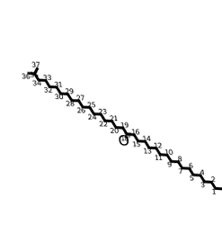 CCCCCCCCCCCCCCCCCC(=O)CCCCCCCCCCCCCCCCC(C)C